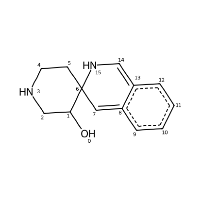 OC1CNCCC12C=c1ccccc1=CN2